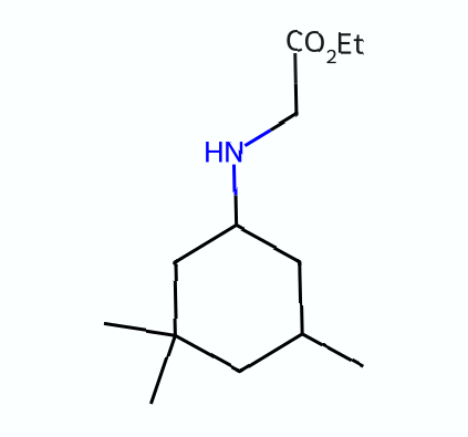 CCOC(=O)CNC1CC(C)CC(C)(C)C1